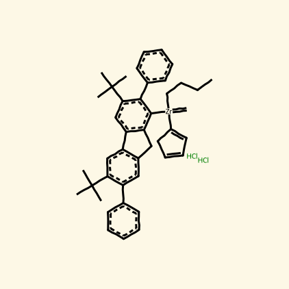 Cl.Cl.[CH2]=[Zr]([CH2]CCC)([C]1=CC=CC1)[c]1c2c(cc(C(C)(C)C)c1-c1ccccc1)-c1cc(C(C)(C)C)c(-c3ccccc3)cc1C2